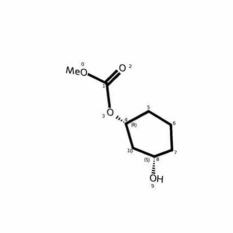 COC(=O)O[C@@H]1CCC[C@H](O)C1